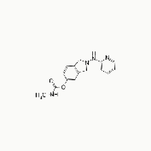 CNC(=O)Oc1ccc2c(c1)CN(Nc1ccccn1)C2